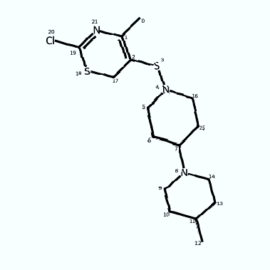 CC1=C(SN2CCC(N3CCC(C)CC3)CC2)CSC(Cl)=N1